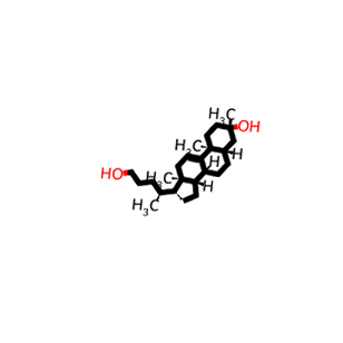 C[C@H](CCCO)[C@H]1CC[C@H]2[C@@H]3CC[C@H]4C[C@@](C)(O)CC[C@]4(C)C3=CC[C@]12C